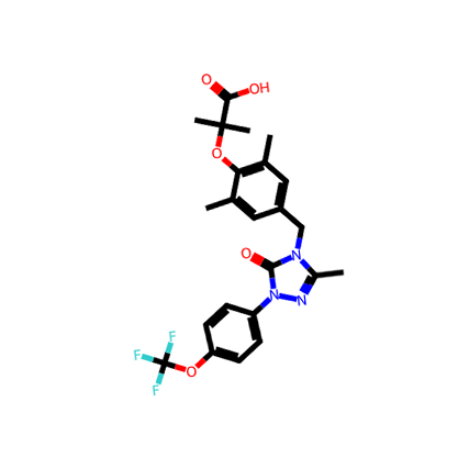 Cc1cc(Cn2c(C)nn(-c3ccc(OC(F)(F)F)cc3)c2=O)cc(C)c1OC(C)(C)C(=O)O